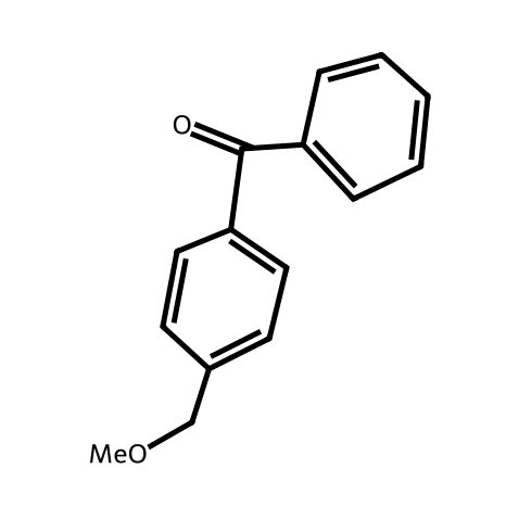 COCc1ccc(C(=O)c2ccccc2)cc1